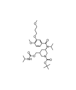 COCCCOc1cc(C(=O)N(C(C)C)[C@@H]2CC(COC(=O)NC(C)C)CN(C(=O)OC(C)(C)C)C2)ccc1OC